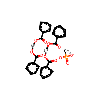 CP(=O)([O-])[O-].O=C([O][Al+][O]C(=O)c1ccccc1)c1ccccc1.O=C([O][Al+][O]C(=O)c1ccccc1)c1ccccc1